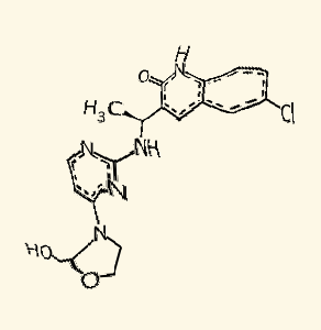 C[C@H](Nc1nccc(N2CCOC2O)n1)c1cc2cc(Cl)ccc2[nH]c1=O